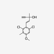 C#CC(C)(O)C=Cc1c(Cl)cc(OC)c(C)c1Cl